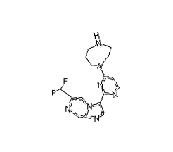 FC(F)c1cn2c(-c3nccc(N4CCCNCC4)n3)cnc2cn1